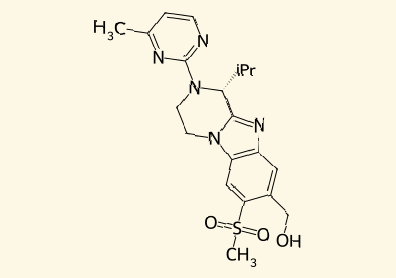 Cc1ccnc(N2CCn3c(nc4cc(CO)c(S(C)(=O)=O)cc43)[C@H]2C(C)C)n1